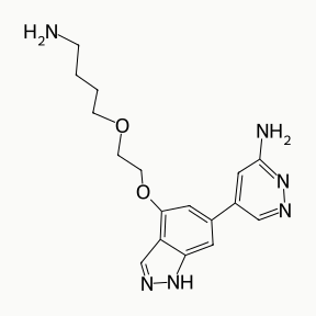 NCCCCOCCOc1cc(-c2cnnc(N)c2)cc2[nH]ncc12